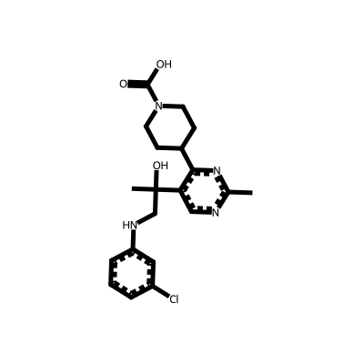 Cc1ncc(C(C)(O)CNc2cccc(Cl)c2)c(C2CCN(C(=O)O)CC2)n1